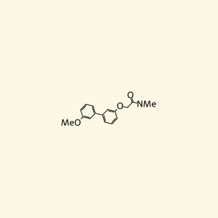 CNC(=O)COc1cccc(-c2cccc(OC)c2)c1